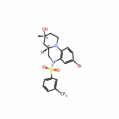 C[C@@]1(O)CCN2c3ccc(Br)cc3N(S(=O)(=O)c3cccc(C(F)(F)F)c3)C[C@@H]2C1